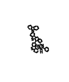 C1=Cc2c(n(-c3ccc4sc5c(-c6ccc7sc8cccc(C9NC(c%10ccccc%10)=NC(c%10ccccc%10)N9)c8c7c6)cccc5c4c3)c3ccccc23)CC1